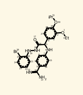 CCOc1cc(C(Nc2ccc(C(=N)N)cc2)C(=O)NNc2ccccc2Br)ccc1OC(C)C